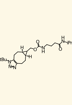 CC(C)NC(=O)CCCNC(=O)OCC1[C@H]2CCc3c(nnn3C(C)(C)C)CC[C@@H]12